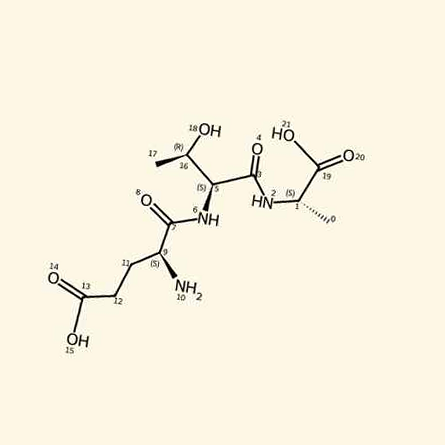 C[C@H](NC(=O)[C@@H](NC(=O)[C@@H](N)CCC(=O)O)[C@@H](C)O)C(=O)O